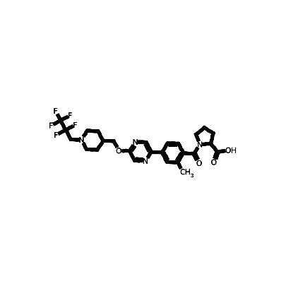 Cc1cc(-c2cnc(OCC3CCN(CC(F)(F)C(F)(F)F)CC3)cn2)ccc1C(=O)N1CCCC1C(=O)O